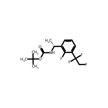 C[C@@H](NC(=O)OC(C)(C)C)c1cccc(C(F)(F)CF)c1F